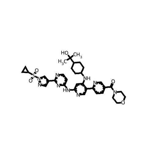 CC(C)(O)C1CCC(Nc2cc(Nc3ccnc(-c4cnn(S(=O)(=O)C5CC5)c4)n3)ncc2-c2ccc(C(=O)N3CCOCC3)cn2)CC1